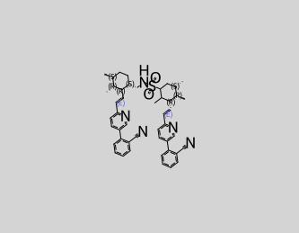 CC1C(S(=O)(=O)NC[C@H]2CC[C@H](C)[C@@H](C)[C@@H]2/C=C/c2ccc(-c3ccccc3C#N)cn2)C[C@H](C)[C@@H](C)[C@@H]1/C=C/c1ccc(-c2ccccc2C#N)cn1